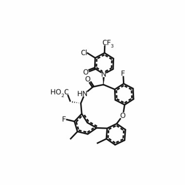 Cc1cc2cc(c1F)[C@H](CC(=O)O)NC(=O)[C@@H](n1ccc(C(F)(F)F)c(Cl)c1=O)c1cc(ccc1F)Oc1cccc(C)c1-2